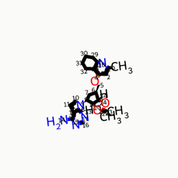 Cc1cc(OC[C@@H]2C[C@@H](n3ccc4c(N)ncnc43)[C@@H]3OC(C)(C)O[C@H]23)c2c(n1)CCCC2